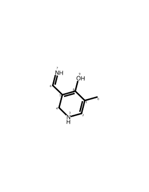 CC1=CNCC(C=N)=C1O